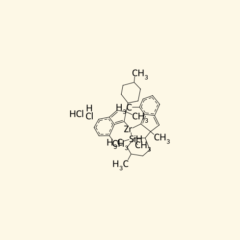 Cc1cccc2c1=[C]([Zr]([C]1=c3c(C)cccc3=CC1(C)C1CCC(C)CC1)[SiH](C)C)C(C)(C1CCC(C)CC1)C=2.Cl.Cl